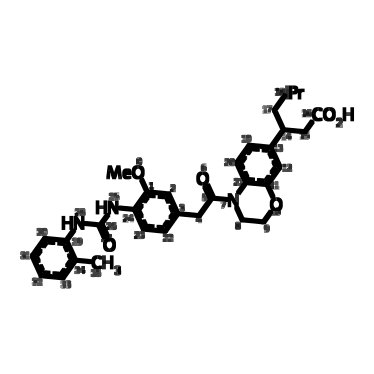 COc1cc(CC(=O)N2CCOc3cc(C(CC(=O)O)CC(C)C)ccc32)ccc1NC(=O)Nc1ccccc1C